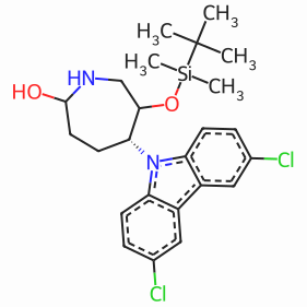 CC(C)(C)[Si](C)(C)OC1CNC(O)CC[C@H]1n1c2ccc(Cl)cc2c2cc(Cl)ccc21